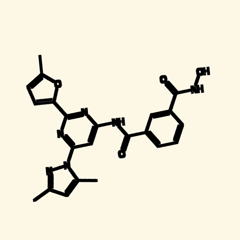 Cc1cc(C)n(-c2cc(NC(=O)c3cccc(C(=O)NO)c3)nc(-c3ccc(C)o3)n2)n1